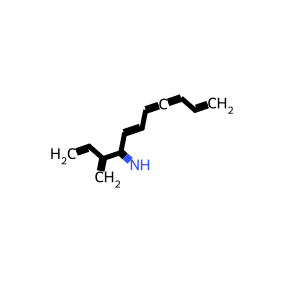 C=CC=C=C/C=C/C(=N)C(=C)C=C